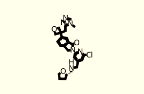 Cn1cnnc1CC1(c2ccc3c(c2)C(=O)N(c2cc(CNC[C@@H]4CCCO4)cc(Cl)n2)C3)COC1